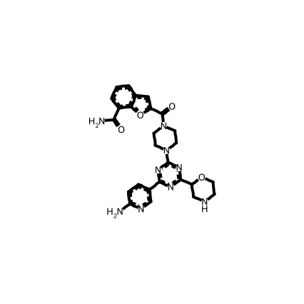 NC(=O)c1cccc2cc(C(=O)N3CCN(c4nc(-c5ccc(N)nc5)nc(C5CNCCO5)n4)CC3)oc12